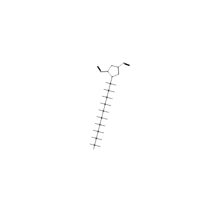 C=CC1CC(C=C)C(C(F)(F)C(F)(F)C(F)(F)C(F)(F)C(F)(F)C(F)(F)C(F)(F)C(F)(F)C(F)(F)C(F)(F)F)C1